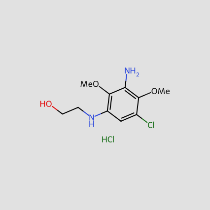 COc1c(Cl)cc(NCCO)c(OC)c1N.Cl